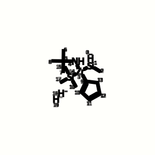 C[SiH](C)[Zr]([NH]C(C)(C)C)([C]1=CC=CC1)[Si](C)(C)C.[H-].[H-]